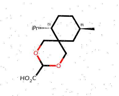 CC(C)[C@@H]1CC[C@@H](C)CC12COC(C(=O)O)OC2